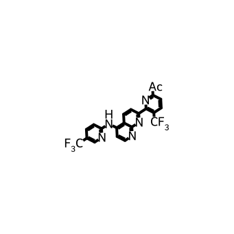 CC(=O)c1ccc(C(F)(F)F)c(-c2ccc3c(Nc4ccc(C(F)(F)F)cn4)ccnc3n2)n1